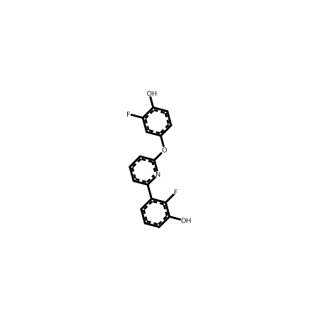 Oc1ccc(Oc2cccc(-c3cccc(O)c3F)n2)cc1F